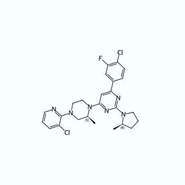 C[C@@H]1CCCN1c1nc(-c2ccc(Cl)c(F)c2)cc(N2CCN(c3ncccc3Cl)C[C@@H]2C)n1